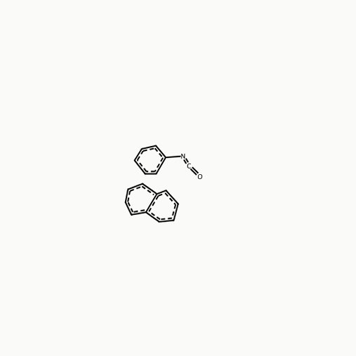 O=C=Nc1ccccc1.c1ccc2ccccc2c1